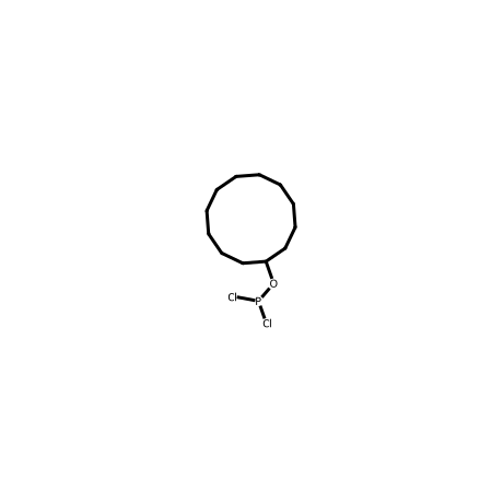 ClP(Cl)OC1CCCCCCCCCCC1